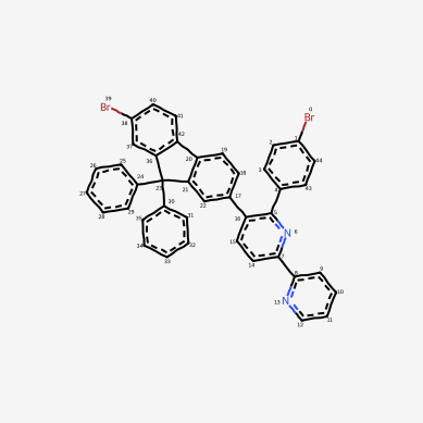 Brc1ccc(-c2nc(-c3ccccn3)ccc2-c2ccc3c(c2)C(c2ccccc2)(c2ccccc2)c2cc(Br)ccc2-3)cc1